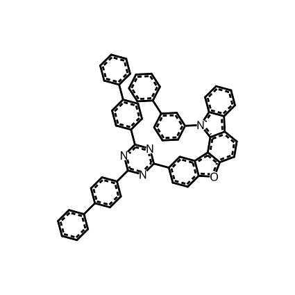 c1ccc(-c2ccc(-c3nc(-c4ccc(-c5ccccc5)cc4)nc(-c4ccc5oc6ccc7c8ccccc8n(-c8cccc(-c9ccccc9)c8)c7c6c5c4)n3)cc2)cc1